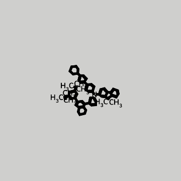 CC(C)(C)c1cc(-c2cc3c(c(-c4cccc(N(c5ccc(-c6ccc(C7CCCCC7)cc6)cc5)c5ccc6c(c5)C(C)(C)c5ccccc5-6)c4)c2)CCCC3)cc(C(C)(C)C)c1